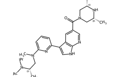 CC(=O)N(C(C)C)[C@@H](C)CN(C)c1cccc(-c2c[nH]c3ncc(C(=O)N4C[C@@H](C)N[C@@H](C)C4)cc23)n1